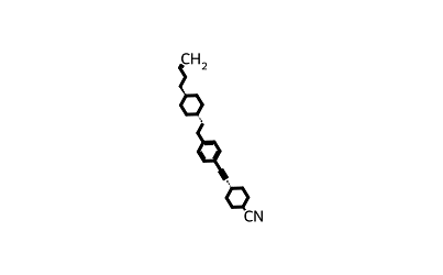 C=CCC[C@H]1CC[C@H](CCc2ccc(C#C[C@H]3CC[C@H](C#N)CC3)cc2)CC1